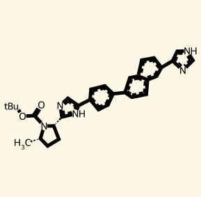 C[C@H]1CC[C@@H](c2ncc(-c3ccc(-c4ccc5cc(-c6c[nH]cn6)ccc5c4)cc3)[nH]2)N1C(=O)OC(C)(C)C